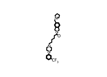 O=C(CCCCCN1CCN(c2cccc(C(F)(F)F)c2)CC1)N1Cc2ccc(CN3CCCC3)cc2C1